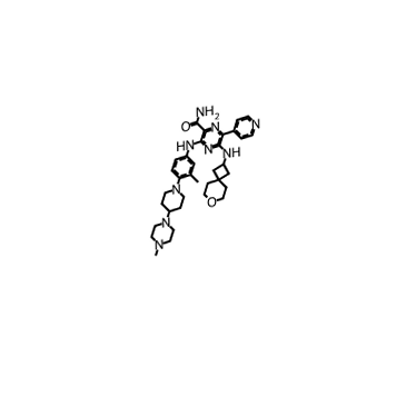 Cc1cc(Nc2nc(NC3CC4(CCOCC4)C3)c(-c3ccncc3)nc2C(N)=O)ccc1N1CCC(N2CCN(C)CC2)CC1